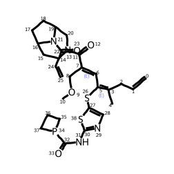 C=CC/C(C)=C(\C=C(/COC)C(=O)N1CCC2CCC(C1)N2C(=O)C=C)Sc1cnc(NC(=O)P2CCC2)s1